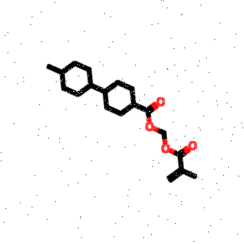 C=C(C)C(=O)OCOC(=O)C1CCC(C2CCC(C)CC2)CC1